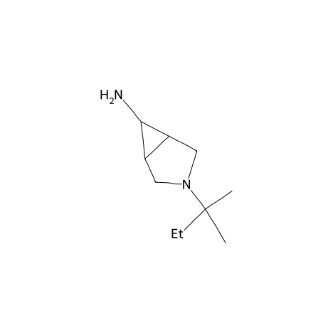 CCC(C)(C)N1CC2C(N)C2C1